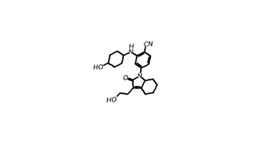 N#Cc1ccc(N2C(=O)C(CCO)=C3CCCCC32)cc1NC1CCC(O)CC1